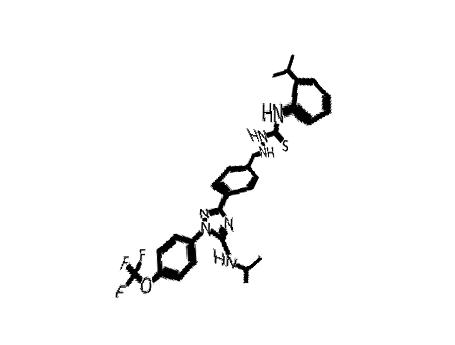 CC(C)Nc1nc(-c2ccc(CNNC(=S)Nc3ccccc3C(C)C)cc2)nn1-c1ccc(OC(F)(F)F)cc1